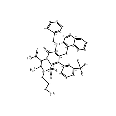 CCCCN1C(C)C(C(=O)O)n2c(c(-c3cccc(C(F)(F)F)c3)c(Cc3cccc4ccccc34)c(NCc3ccccc3)c2=O)S1(=O)=O